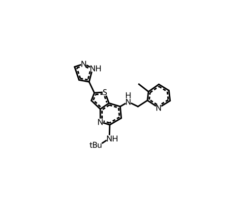 Cc1cccnc1CNc1cc(NC(C)(C)C)nc2cc(-c3ccn[nH]3)sc12